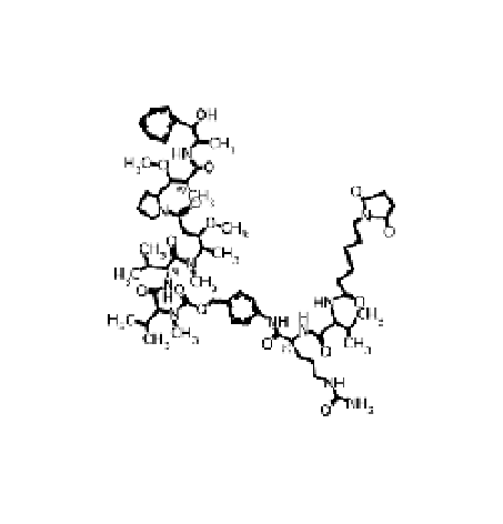 COC(CC(=O)N1CCCC1C(OC)[C@@H](C)C(=O)NC(C)C(O)c1ccccc1)C(C)N(C)C(=O)[C@@H](NC(=O)C(C(C)C)N(C)C(=O)OCc1ccc(NC(=O)[C@H](CCCNC(N)=O)NC(=O)C(NC(=O)CCCCCN2C(=O)CCC2=O)C(C)C)cc1)C(C)C